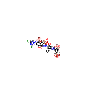 Cc1cc(/N=N/c2c(S(=O)(=O)O)cc3c(S(=O)(=O)O)c(Nc4nc(Cl)nc(Cl)n4)ccc3c2O)c(O)cc1/N=N/c1cc(S(=O)(=O)O)ccc1S(=O)(=O)O